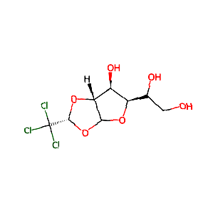 OCC(O)[C@H]1OC2O[C@H](C(Cl)(Cl)Cl)O[C@@H]2[C@H]1O